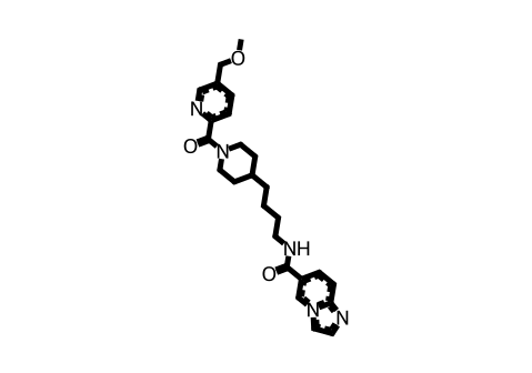 COCc1ccc(C(=O)N2CCC(CCCCNC(=O)c3ccc4nccn4c3)CC2)nc1